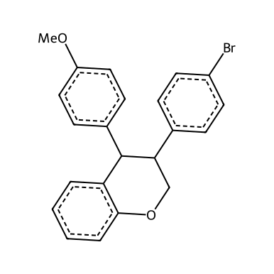 COc1ccc(C2c3ccccc3OCC2c2ccc(Br)cc2)cc1